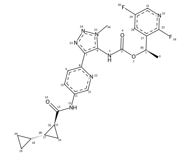 C[C@@H](OC(=O)Nc1c(-c2ccc(NC(=O)[C@H]3C[C@@H]3C3CC3)cn2)nnn1C)c1cc(F)cnc1F